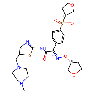 CN1CCN(Cc2cnc(NC(=O)/C(=N/O[C@@H]3CCOC3)c3ccc(S(=O)(=O)[C@H]4CCOC4)cc3)s2)CC1